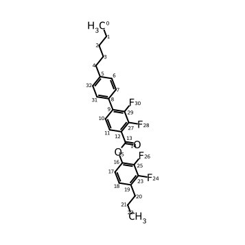 CCCCCc1ccc(-c2ccc(C(=O)Oc3ccc(CCC)c(F)c3F)c(F)c2F)cc1